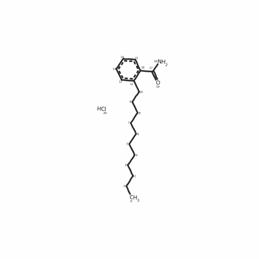 CCCCCCCCCCCc1ccccc1C(N)=O.Cl